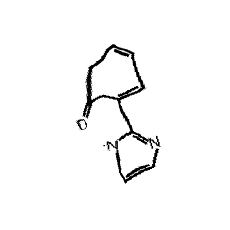 O=C1CC=CC=C1C1=NC=C[N]1